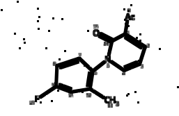 CC(=O)c1cccn(-c2ccc(F)cc2C)c1=O